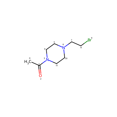 CC(=O)N1CCN(CCBr)CC1